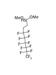 CO[SiH](CCC(F)(F)C(F)(F)C(F)(F)C(F)(F)C(F)(F)C(F)(F)F)OC